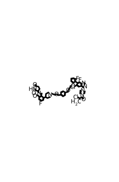 C=C(Cl)C(=O)N1CCN(c2ncnc3c(F)c(-c4c(F)cccc4OCCOCc4ccc(COCCN5CCC(c6cc(F)cc7c6CN(C6CCC(=O)NC6=O)C7=O)CC5)cc4)c(Cl)cc23)CC1